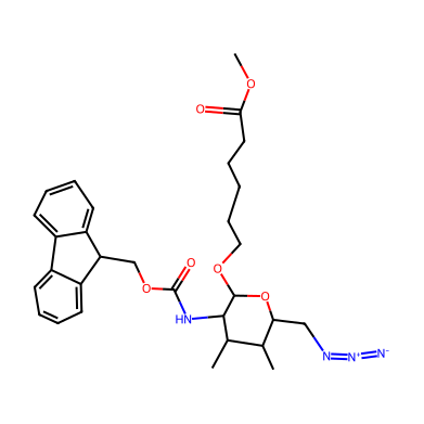 COC(=O)CCCCCOC1OC(CN=[N+]=[N-])C(C)C(C)C1NC(=O)OCC1c2ccccc2-c2ccccc21